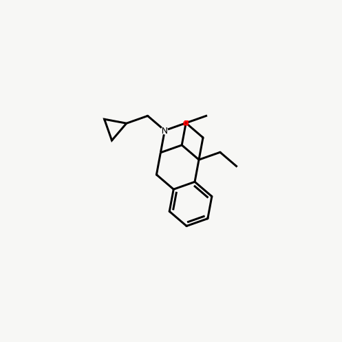 CCC1C2Cc3ccccc3C1(CC)CCN2CC1CC1